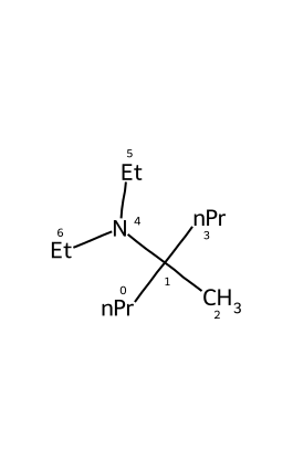 CCCC(C)(CCC)N(CC)CC